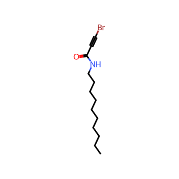 CCCCCCCCCCNC(=O)C#CBr